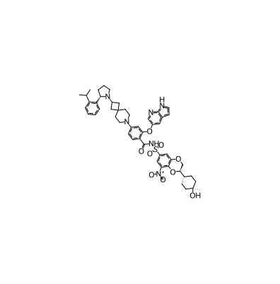 CC(C)c1ccccc1[C@H]1CCCN1C1CC2(CCN(c3ccc(C(=O)NS(=O)(=O)c4cc5c(c([N+](=O)[O-])c4)O[C@H]([C@H]4CC[C@](C)(O)CC4)CO5)c(Oc4cnc5[nH]ccc5c4)c3)CC2)C1